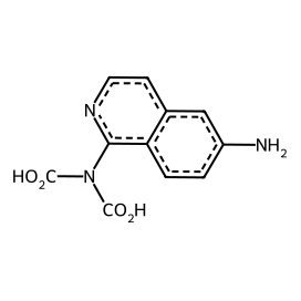 Nc1ccc2c(N(C(=O)O)C(=O)O)nccc2c1